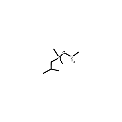 C[SiH2]O[Si](C)(C)CC(C)C